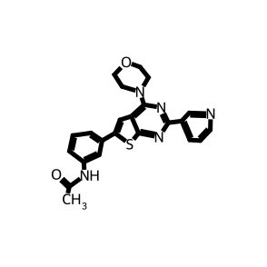 CC(=O)Nc1cccc(-c2cc3c(N4CCOCC4)nc(-c4cccnc4)nc3s2)c1